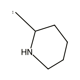 [CH]C1CCCCN1